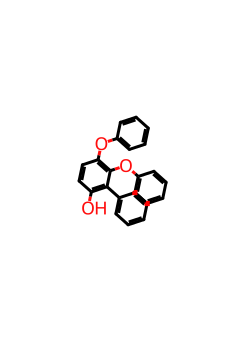 Oc1ccc(Oc2ccccc2)c(Oc2ccccc2)c1-c1ccccc1